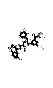 CCCN(CCC)C(=O)c1cc(C)cc(C(=O)N(Cc2cc(F)cc(Cl)c2)CC(O)CNC2CS(=O)(=O)Cc3ccc(CC)cc32)c1